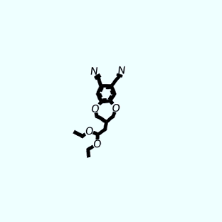 CCOC(CC1COc2cc(C#N)c(C#N)cc2OC1)OCC